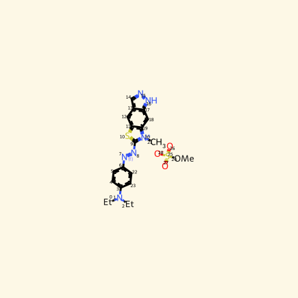 CCN(CC)c1ccc(/N=N/c2sc3cc4cn[nH]c4cc3[n+]2C)cc1.COS(=O)(=O)[O-]